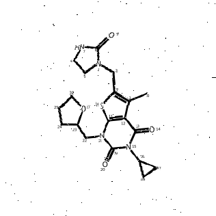 Cc1c(CN2CCNC2=O)sc2c1c(=O)n(C1CC1)c(=O)n2CC1CCCO1